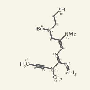 C=N/C(=N\C=C(/CN(CCS)C(C)CC)NC)N(C)C#CC